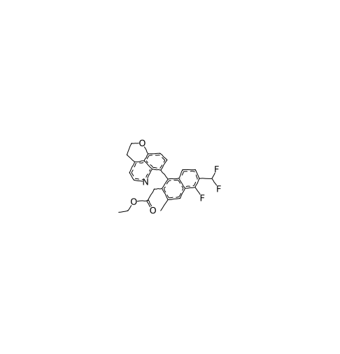 CCOC(=O)Cc1c(C)cc2c(F)c(C(F)F)ccc2c1-c1ccc2c3c(ccnc13)CCO2